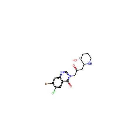 O=C(CC1NCCC[C@H]1O)Cn1cnc2cc(Br)c(Cl)cc2c1=O